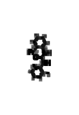 Cc1cccnc1NC(=O)Nc1ccccc1C(C)C